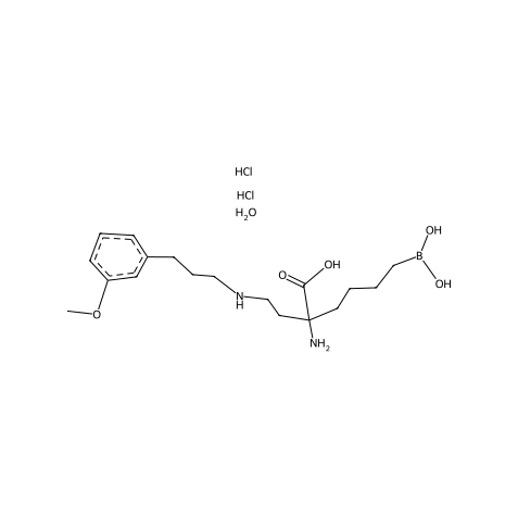 COc1cccc(CCCNCCC(N)(CCCCB(O)O)C(=O)O)c1.Cl.Cl.O